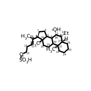 CC[C@H]1[C@@H](O)C2C3CC[C@H]([C@H](C)CCCOS(=O)(=O)O)C3(C)CCC2[C@@]2(C)CCCC[C@@H]12